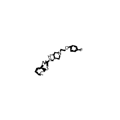 C[C@H]1CN(CCOc2ccc(F)cc2)CC[C@H]1CNc1nc2ccccc2s1